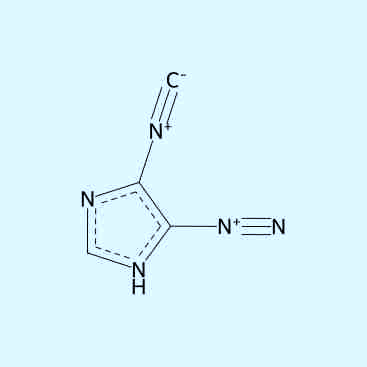 [C-]#[N+]c1nc[nH]c1[N+]#N